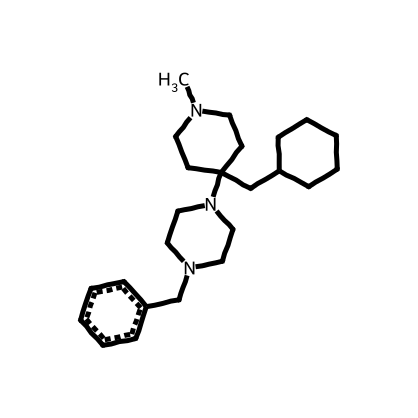 CN1CCC(CC2CCCCC2)(N2CCN(Cc3ccccc3)CC2)CC1